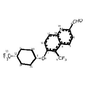 O=Cc1ccc2c(C(F)(F)F)c(O[C@H]3CC[C@@H](C(F)(F)F)CC3)ccc2n1